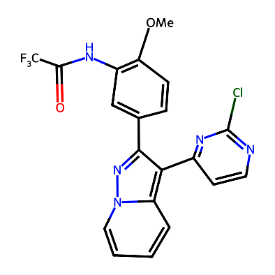 COc1ccc(-c2nn3ccccc3c2-c2ccnc(Cl)n2)cc1NC(=O)C(F)(F)F